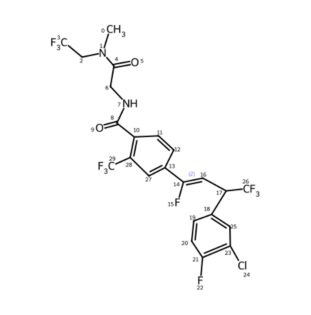 CN(CC(F)(F)F)C(=O)CNC(=O)c1ccc(/C(F)=C/C(c2ccc(F)c(Cl)c2)C(F)(F)F)cc1C(F)(F)F